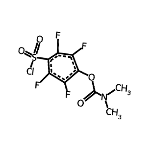 CN(C)C(=O)Oc1c(F)c(F)c(S(=O)(=O)Cl)c(F)c1F